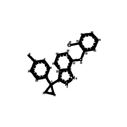 Cc1ccc(C2(c3nnc4c(Oc5ccccc5Cl)nccn34)CC2)cc1